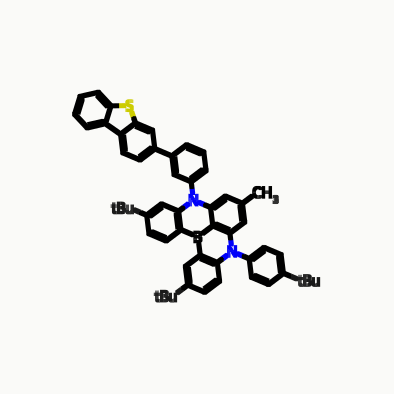 Cc1cc2c3c(c1)N(c1cccc(-c4ccc5c(c4)sc4ccccc45)c1)c1cc(C(C)(C)C)ccc1B3c1cc(C(C)(C)C)ccc1N2c1ccc(C(C)(C)C)cc1